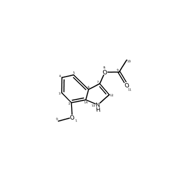 COc1cccc2c(OC(C)=O)c[nH]c12